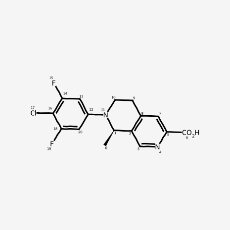 C[C@@H]1c2cnc(C(=O)O)cc2CCN1c1cc(F)c(Cl)c(F)c1